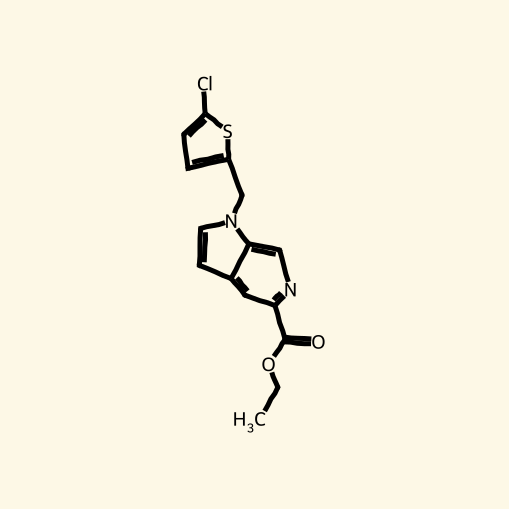 CCOC(=O)c1cc2ccn(Cc3ccc(Cl)s3)c2cn1